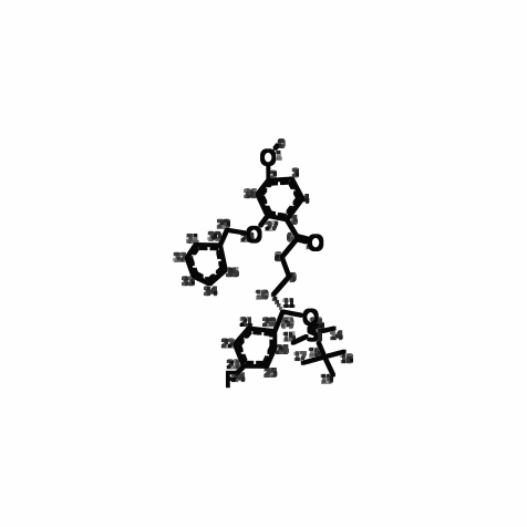 COc1ccc(C(=O)CCC[C@H](O[Si](C)(C)C(C)(C)C)c2ccc(F)cc2)c(OCc2ccccc2)c1